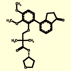 COc1ccc(-c2cccc3c2CCC3=O)c(OCC(C)(C)C(=O)O[C@@H]2CCOC2)c1OC